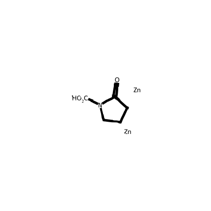 O=C(O)N1CCCC1=O.[Zn].[Zn]